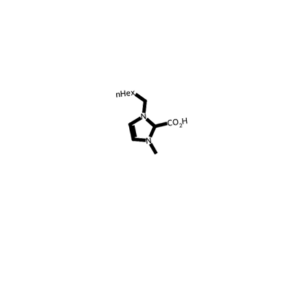 CCCCCCCN1C=CN(C)C1C(=O)O